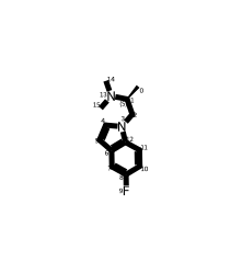 C[C@@H](Cn1ccc2cc(F)ccc21)N(C)C